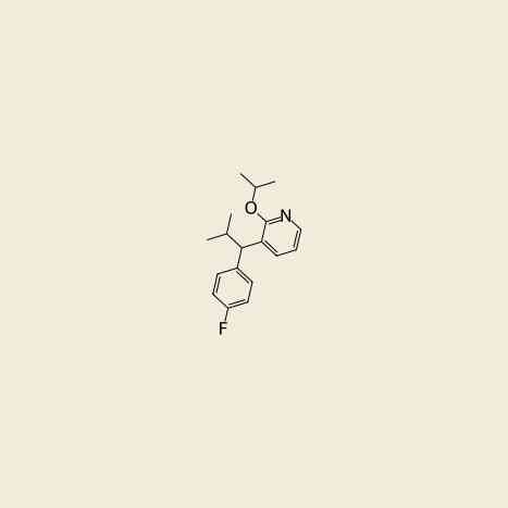 CC(C)Oc1ncccc1C(c1ccc(F)cc1)C(C)C